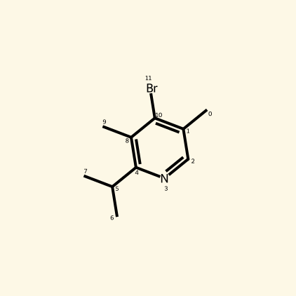 Cc1cnc(C(C)C)c(C)c1Br